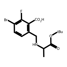 CC(NCc1ccc(Br)c(F)c1C(=O)O)C(=O)OC(C)(C)C